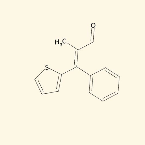 CC(C=O)=C(c1ccccc1)c1cccs1